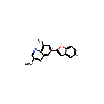 COc1cnc2c(C)cc(-c3cc4ccccc4o3)cc2c1